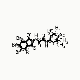 CC(=O)N1C(C)(C)CC(NC(=O)C(=O)NN2C(=O)c3c(Br)c(Br)c(Br)c(Br)c3C2=O)CC1(C)C